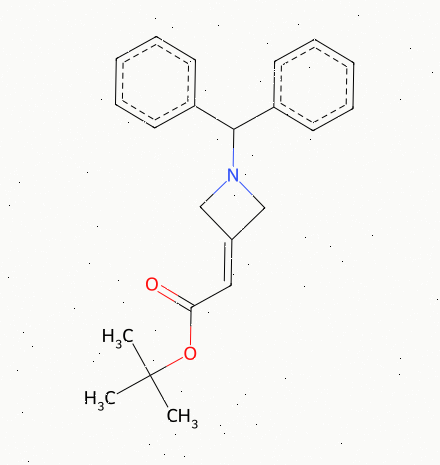 CC(C)(C)OC(=O)C=C1CN(C(c2ccccc2)c2ccccc2)C1